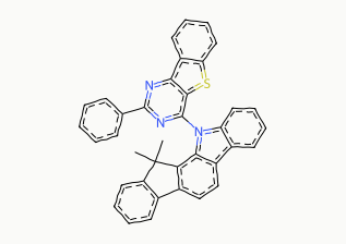 CC1(C)c2ccccc2-c2ccc3c4ccccc4n(-c4nc(-c5ccccc5)nc5c4sc4ccccc45)c3c21